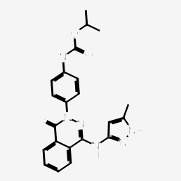 Cc1cc(Nc2nn(-c3ccc(NC(=O)OC(C)C)cc3)c(=O)c3ccccc23)n[nH]1